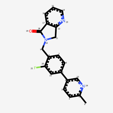 Cc1ccc(-c2ccc(CN3Cc4ncccc4C3=O)c(F)c2)cn1